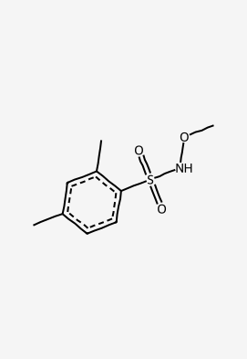 CONS(=O)(=O)c1ccc(C)cc1C